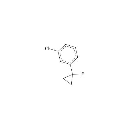 FC1(c2cccc(Cl)c2)CC1